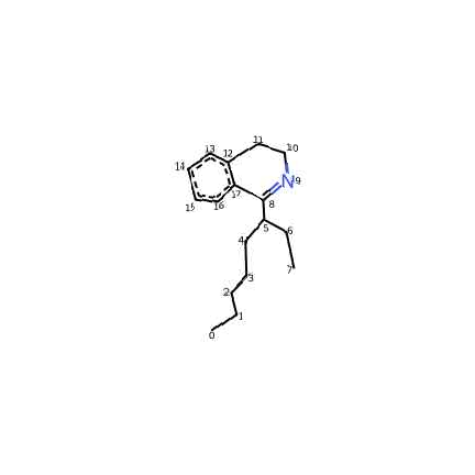 CCCCCC(CC)C1=NCCc2ccccc21